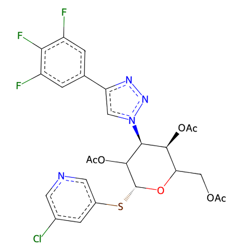 CC(=O)OCC1O[C@H](Sc2cncc(Cl)c2)C(OC(C)=O)[C@@H](n2cc(-c3cc(F)c(F)c(F)c3)nn2)[C@H]1OC(C)=O